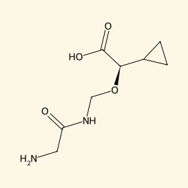 NCC(=O)NCO[C@@H](C(=O)O)C1CC1